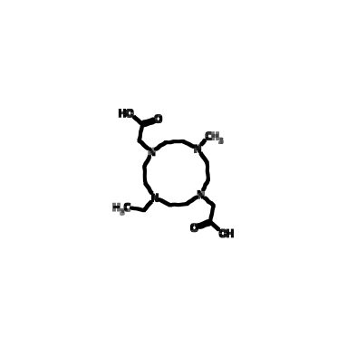 CCN1CCN(CC(=O)O)CCN(C)CCN(CC(=O)O)CC1